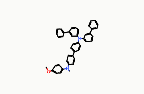 COc1ccc(N(C)c2ccc(-c3ccc(N(c4cccc(-c5ccccc5)c4)c4cccc(-c5ccccc5)c4)cc3)cc2)cc1